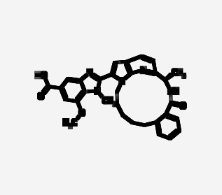 COc1cc(C(=O)O)cc2nc(-c3cc4ccc5nc4n3CCCCCc3ccccc3C(=O)N[C@@H]5C)n(C)c12